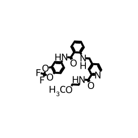 COCCNC(=O)c1cc(CNc2ccccc2C(=O)Nc2ccc3c(c2)OC(F)(F)O3)ccn1